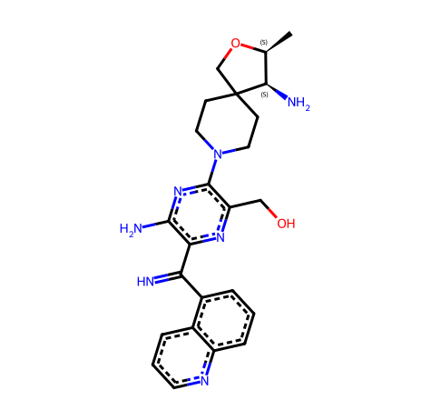 C[C@@H]1OCC2(CCN(c3nc(N)c(C(=N)c4cccc5ncccc45)nc3CO)CC2)[C@@H]1N